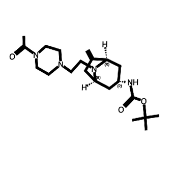 C=C1C[C@@H]2C[C@@H](NC(=O)OC(C)(C)C)C[C@H]1N2CCN1CCN(C(C)=O)CC1